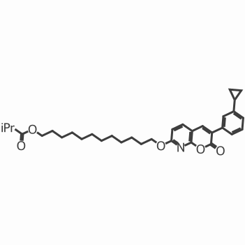 CC(C)C(=O)OCCCCCCCCCCCCOc1ccc2cc(-c3cccc(C4CC4)c3)c(=O)oc2n1